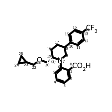 O=C(O)c1ccccc1N1CC(c2ccc(C(F)(F)F)cc2)CC[C@H]1COCC1CC1